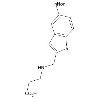 CCCCCCCCCc1ccc2sc(CNCCC(=O)O)cc2c1